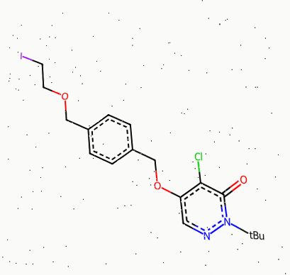 CC(C)(C)n1ncc(OCc2ccc(COCCI)cc2)c(Cl)c1=O